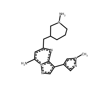 Cn1cc(-c2cnn3c(N)cc(CC4CCCN(N)C4)nc23)cn1